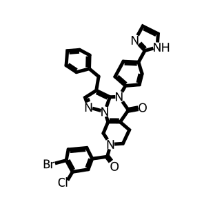 O=C(c1ccc(Br)c(Cl)c1)N1CCc2c(n3ncc(Cc4ccccc4)c3n(-c3ccc(-c4ncc[nH]4)cc3)c2=O)C1